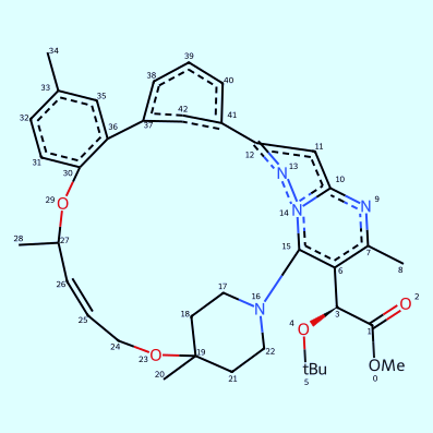 COC(=O)[C@@H](OC(C)(C)C)c1c(C)nc2cc3nn2c1N1CCC(C)(CC1)OCC=CC(C)Oc1ccc(C)cc1-c1cccc-3c1